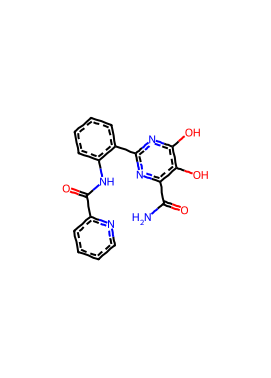 NC(=O)c1nc(-c2ccccc2NC(=O)c2ccccn2)nc(O)c1O